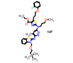 CCOC(=O)c1nc(N(CCCOC)c2cc(C)c(/N=c3\sc4ccccc4n3COCC[Si](C)(C)C)nn2)sc1CCCOc1ccccc1F.[H-].[Na+]